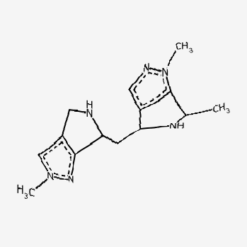 CC1NC(CC2NCc3cn(C)nc32)c2cnn(C)c21